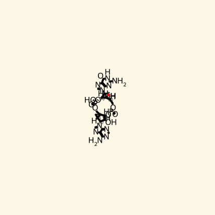 Nc1nc2c(ncn2[C@@H]2S[C@@H]3CO[PH](=O)O[C@H]4[C@@H](O)[C@H](n5cnc6c(N)ncnc65)[C@H]5C[C@]54COP(=O)(O)O[C@@H]2[C@@H]3O)c(=O)[nH]1